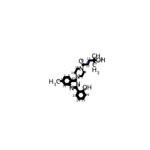 Cc1ccc2c(N3CCN(C(=O)/C=C/C(C)(C)O)CC3)nc(-c3ccccc3O)nc2c1